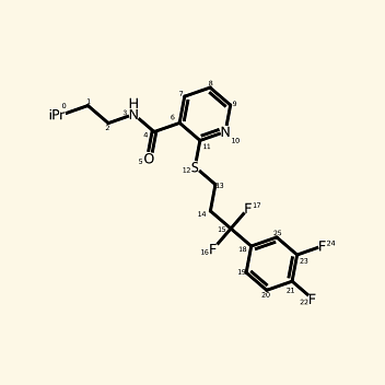 CC(C)CCNC(=O)c1cccnc1SCCC(F)(F)c1ccc(F)c(F)c1